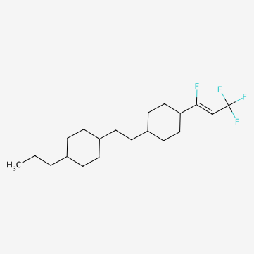 CCCC1CCC(CCC2CCC(/C(F)=C/C(F)(F)F)CC2)CC1